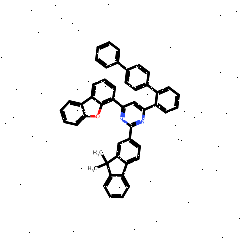 CC1(C)c2ccccc2-c2ccc(-c3nc(-c4ccccc4-c4ccc(-c5ccccc5)cc4)cc(-c4cccc5c4oc4ccccc45)n3)cc21